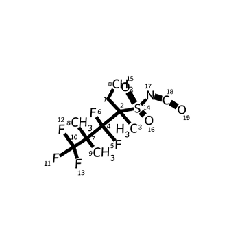 CCC(C)(C(F)(F)C(C)(C)C(F)(F)F)S(=O)(=O)N=C=O